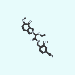 CCOC(C(=O)NCc1ccc(C#N)cc1O)N1C=C2C=CC(OC)C(=O)C2C1